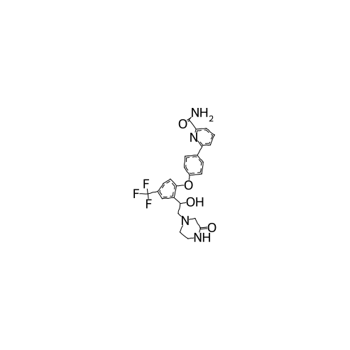 NC(=O)c1cccc(-c2ccc(Oc3ccc(C(F)(F)F)cc3C(O)CN3CCNC(=O)C3)cc2)n1